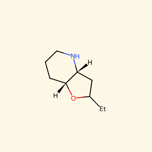 CCC1C[C@H]2NCCC[C@H]2O1